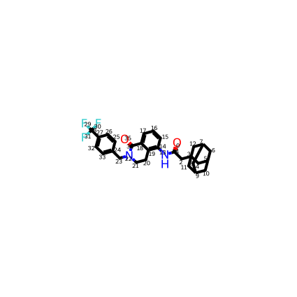 O=C(CC12CC3CC(CC(C3)C1)C2)Nc1cccc2c1CCN(Cc1ccc(C(F)(F)F)cc1)C2=O